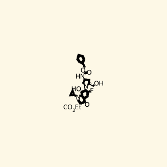 CCOC(=O)c1cn(C2CC2)c2c(O)c(N3C[C@H](NC(=O)OCc4ccccc4)C[C@H]3CO)c(F)cc2c1=O